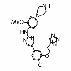 COc1cc(N2CCNCC2)ccc1Nc1ncc(-c2ccc(Cl)c(O[C@@H](C)Cn3cnnn3)c2)cn1